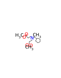 COC(=O)CCN(CCC(=O)OC)C(C)C1CCCCC1